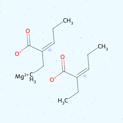 CC/C=C(/CC)C(=O)[O-].CC/C=C(/CC)C(=O)[O-].[Mg+2]